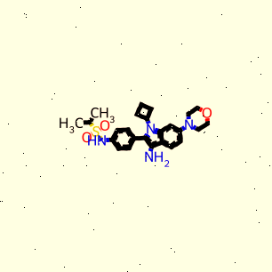 CC(C)S(=O)(=O)Nc1ccc(-c2c(N)c3ccc(N4CCOCC4)cc3n2C2CCC2)cc1